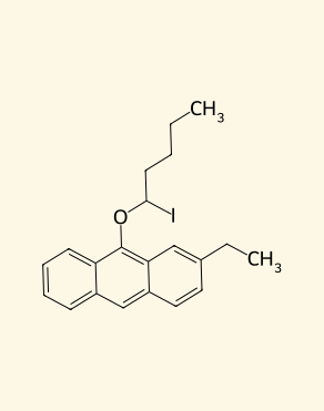 CCCCC(I)Oc1c2ccccc2cc2ccc(CC)cc12